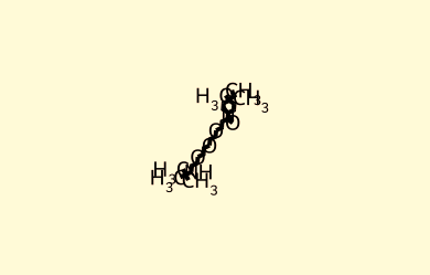 CC(C)C1(C)CCN(C(=O)CCOCCOCCOCCNC(C)(C)C)CC1